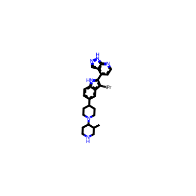 CC(C)c1c(-c2ccnc3[nH]ncc23)[nH]c2ccc(C3CCN(C4CCNCC4C)CC3)cc12